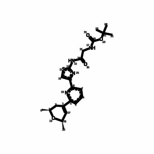 C[C@@H]1CC(c2cccc(-c3csc(NC(=O)CNC(=O)OC(C)(C)C)n3)n2)=C[C@H](C)O1